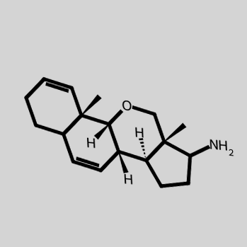 C[C@]12C=CCCC1C=C[C@@H]1[C@H]2OC[C@]2(C)C(N)CC[C@@H]12